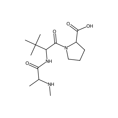 CNC(C)C(=O)NC(C(=O)N1CCCC1C(=O)O)C(C)(C)C